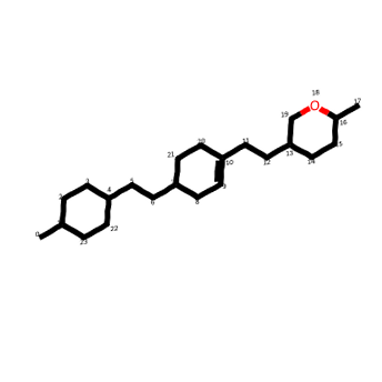 CC1CCC(CCC2CC=C(CCC3CCC(C)OC3)CC2)CC1